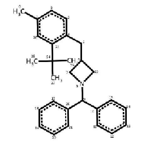 Cc1ccc(CC2CN(C(c3ccccc3)c3ccccc3)C2)c(C(C)(C)C)c1